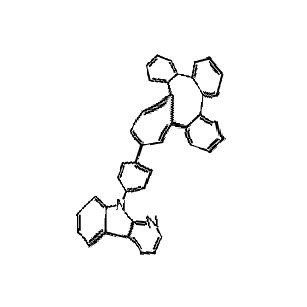 c1ccc2c(c1)-c1ccccc1-c1ccc(-c3ccc(-n4c5ccccc5c5cccnc54)cc3)cc1-c1ccccc1-2